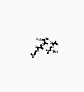 C=C(C)C(=O)OCCN(C)C.C=C(C)C(=O)OCCN(C)C.CN=C(NC)C(C)Cl.Cl.Cl